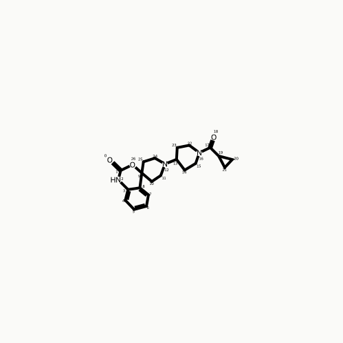 O=C1Nc2ccccc2C2(CCN(C3CCN(C(=O)C4CC4)CC3)CC2)O1